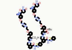 Cc1c(OCCCN2CCN(CCOc3ccc4c(C5CCC(=O)NC5=O)nn(C)c4c3)CC2)cccc1-c1ccc(N2CCc3cccc(C(=O)Nc4nc5ccccc5s4)c3C2)nc1C(=O)O.Cc1c(OCCCN2CCN(CCOc3ccc4c(C5CCC(=O)NC5=O)nn(C)c4c3)CC2)cccc1-c1ccc(N2CCc3cccc(C(=O)Nc4nc5ccccc5s4)c3C2)nc1C(=O)OC(C)(C)C